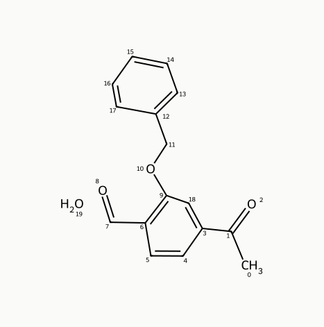 CC(=O)c1ccc(C=O)c(OCc2ccccc2)c1.O